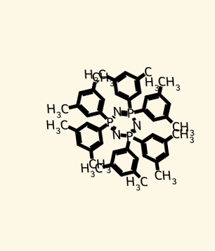 Cc1cc(C)cc(P2(c3cc(C)cc(C)c3)=NP(c3cc(C)cc(C)c3)(c3cc(C)cc(C)c3)=NP(c3cc(C)cc(C)c3)(c3cc(C)cc(C)c3)=N2)c1